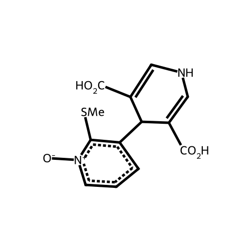 CSc1c(C2C(C(=O)O)=CNC=C2C(=O)O)ccc[n+]1[O-]